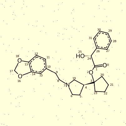 O=C(OC1([C@H]2CCN(CCc3ccc4c(c3)OCO4)C2)CCCC1)[C@H](O)c1ccccc1